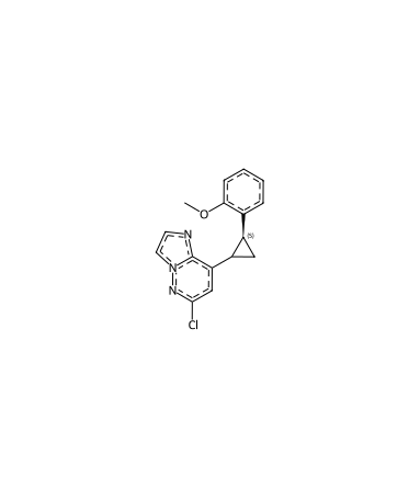 COc1ccccc1[C@H]1CC1c1cc(Cl)nn2ccnc12